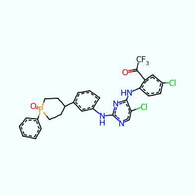 O=C(c1cc(Cl)ccc1Nc1nc(Nc2cccc(C3CCP(=O)(c4ccccc4)CC3)c2)ncc1Cl)C(F)(F)F